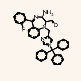 N[C@@H]1N=C(c2ccccc2F)c2ccccc2N(Cc2cn(C(c3ccccc3)(c3ccccc3)c3ccccc3)cn2)C1C=O